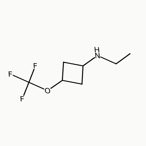 CCNC1CC(OC(F)(F)F)C1